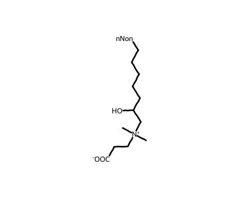 CCCCCCCCCCCCCCC(O)C[N+](C)(C)CCC(=O)[O-]